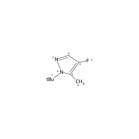 Cc1c(F)cnn1C(C)(C)C